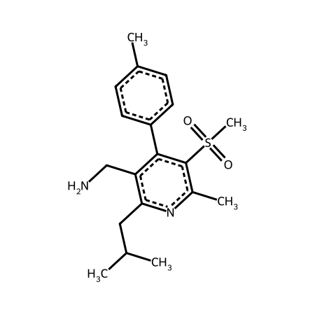 Cc1ccc(-c2c(CN)c(CC(C)C)nc(C)c2S(C)(=O)=O)cc1